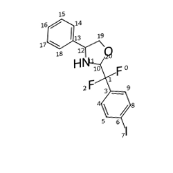 FC(F)(c1ccc(I)cc1)C1NC(c2ccccc2)CO1